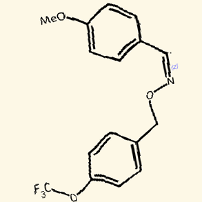 COc1ccc(/[C]=N\OCc2ccc(OC(F)(F)F)cc2)cc1